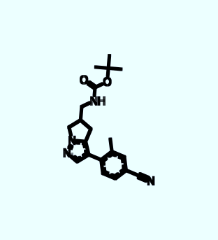 Cc1cc(C#N)ccc1-c1cnn2c1CC(CNC(=O)OC(C)(C)C)C2